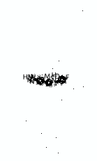 COc1cc(F)ccc1[C@@H](C)NC1CC[C@H](c2ccc(-c3nn[nH]n3)cc2)C1